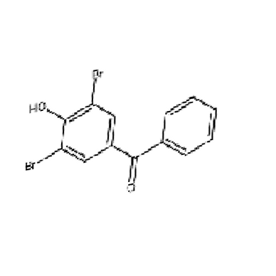 O=C(c1ccccc1)c1cc(Br)c(O)c(Br)c1